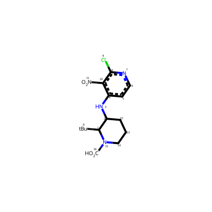 CC(C)(C)C1C(Nc2ccnc(Cl)c2[N+](=O)[O-])CCCN1C(=O)O